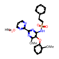 COc1ccccc1Oc1c(NS(=O)(=O)C=Cc2ccccc2)nc(-c2ncccn2)nc1OC.O.[NaH]